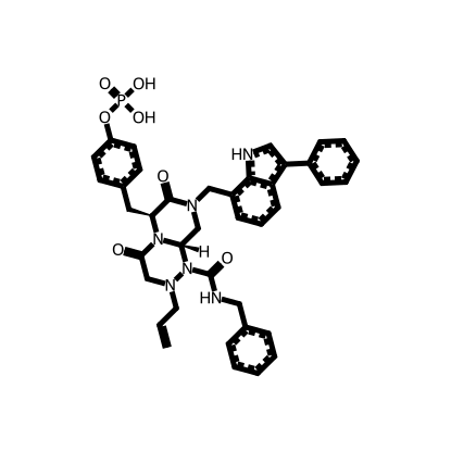 C=CCN1CC(=O)N2[C@@H](Cc3ccc(OP(=O)(O)O)cc3)C(=O)N(Cc3cccc4c(-c5ccccc5)c[nH]c34)C[C@@H]2N1C(=O)NCc1ccccc1